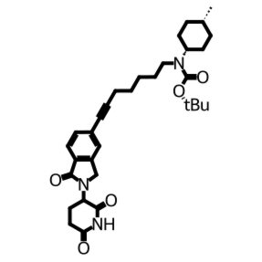 CC(C)(C)OC(=O)N(CCCCCC#Cc1ccc2c(c1)CN(C1CCC(=O)NC1=O)C2=O)[C@H]1CC[C@@H](C)CC1